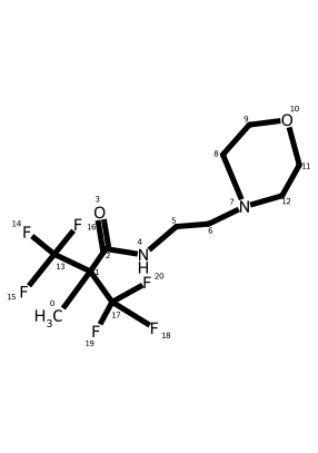 CC(C(=O)NCCN1CCOCC1)(C(F)(F)F)C(F)(F)F